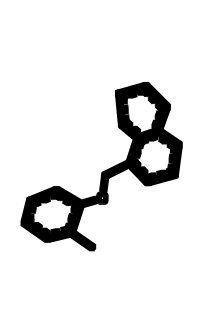 Cc1ccccc1OCc1cccc2ccccc12